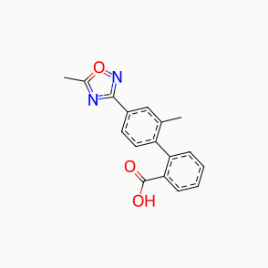 Cc1nc(-c2ccc(-c3ccccc3C(=O)O)c(C)c2)no1